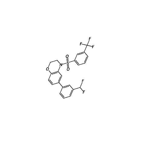 O=S(=O)(c1cccc(C(F)(F)F)c1)N1CCOc2ccc(-c3cccc(C(F)F)c3)cc21